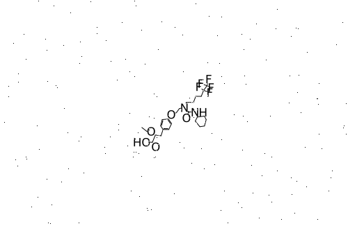 CCOC(Cc1ccc(OCCN(CCCCC(F)(F)C(F)(F)F)C(=O)NC2CCCCC2)cc1)C(=O)O